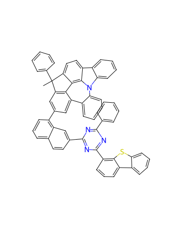 CC1(c2ccccc2)c2cc(-c3cccc4ccc(-c5nc(-c6ccccc6)nc(-c6cccc7c6sc6ccccc67)n5)cc34)cc3c2-c2c1ccc1c4ccccc4n(c21)-c1ccccc1-3